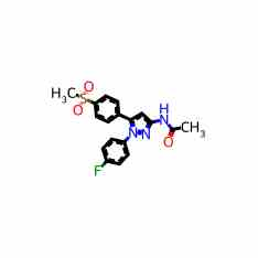 CC(=O)Nc1cc(-c2ccc(S(C)(=O)=O)cc2)n(-c2ccc(F)cc2)n1